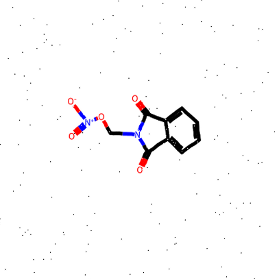 O=C1c2ccccc2C(=O)N1CO[N+](=O)[O-]